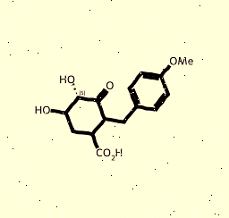 COc1ccc(CC2C(=O)[C@@H](O)C(O)CC2C(=O)O)cc1